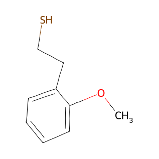 COc1ccccc1CCS